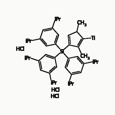 CC1=[C]([Ti])C(C)C=C1[Si](c1cc(C(C)C)cc(C(C)C)c1)(c1cc(C(C)C)cc(C(C)C)c1)c1cc(C(C)C)cc(C(C)C)c1.Cl.Cl.Cl